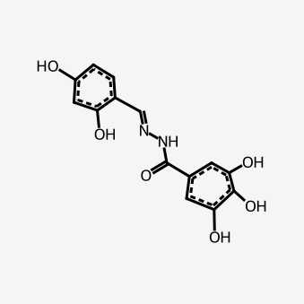 O=C(NN=Cc1ccc(O)cc1O)c1cc(O)c(O)c(O)c1